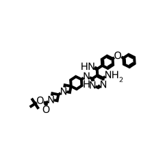 CC(C)(C)OC(=O)N1CC(N2CC3(CCC(Nc4ncnc(N)c4C(=N)c4ccc(Oc5ccccc5)cc4)CC3)C2)C1